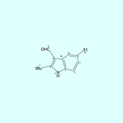 CCc1ccc2[nH]c(C(C)(C)C)c(C=O)c2c1